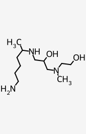 CC(CCCCN)NCC(O)CN(C)CCO